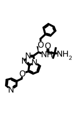 CC(C)(N)C(=O)N[C@H](COCc1ccccc1)c1nnc2c(OCc3cccnc3)cccn12